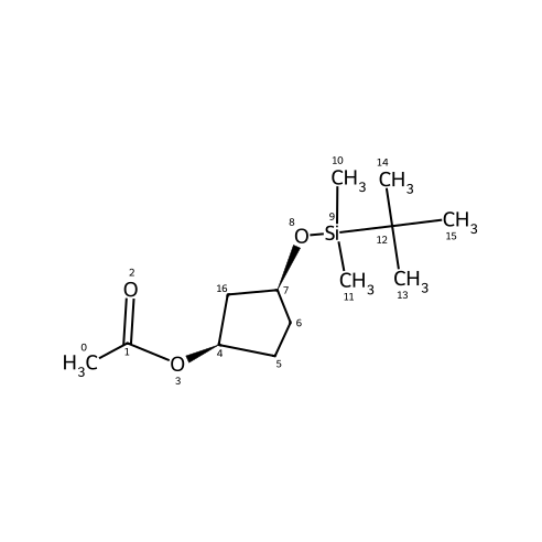 CC(=O)O[C@@H]1CC[C@H](O[Si](C)(C)C(C)(C)C)C1